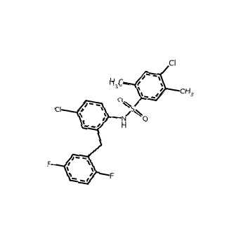 Cc1cc(S(=O)(=O)Nc2ccc(Cl)cc2Cc2cc(F)ccc2F)c(C)cc1Cl